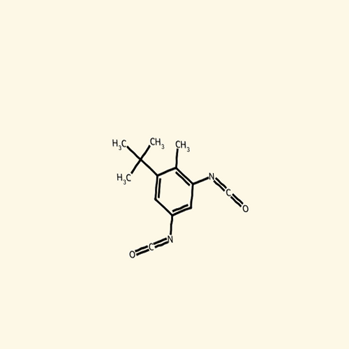 Cc1c(N=C=O)cc(N=C=O)cc1C(C)(C)C